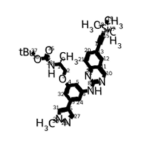 C[C@H](COc1cc(Nc2ncc3cc(C#C[Si](C)(C)C)ccc3n2)cc(-c2cnn(C)c2)c1)NC(=O)OC(C)(C)C